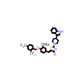 COc1cc(/C=C2\SC(N3CCC(c4c[nH]c5ccccc45)CC3)=NC2=O)ccc1OCc1ccc(C(F)(F)F)cc1C(F)(F)F